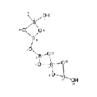 C[B-]1(O)OB(OB2O[B-]3(OB(O)O3)O2)O1